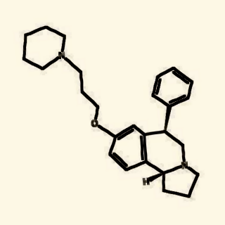 c1ccc([C@H]2CN3CCC[C@@H]3c3ccc(OCCCN4CCCCC4)cc32)cc1